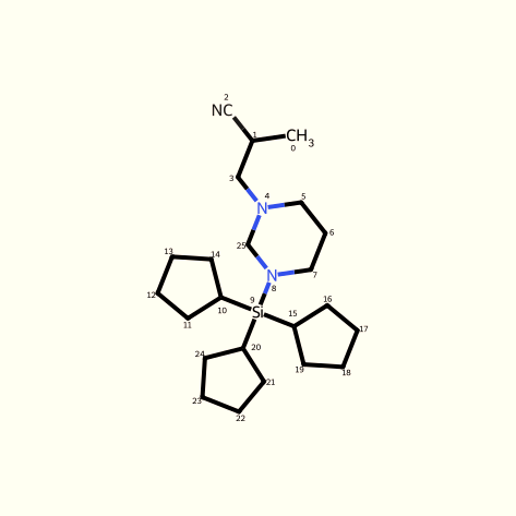 CC(C#N)CN1CCCN([Si](C2CCCC2)(C2CCCC2)C2CCCC2)C1